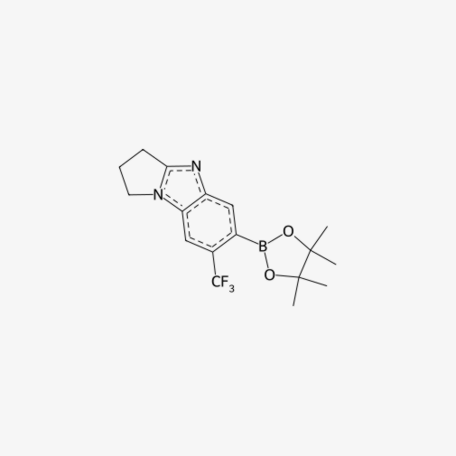 CC1(C)OB(c2cc3nc4n(c3cc2C(F)(F)F)CCC4)OC1(C)C